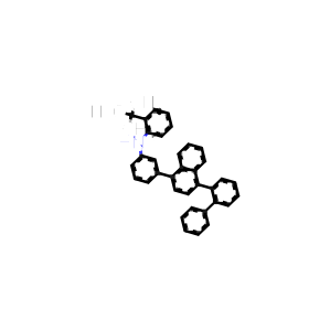 CC(C)(C)c1ccccc1Nc1cccc(-c2ccc(-c3ccccc3-c3ccccc3)c3ccccc23)c1